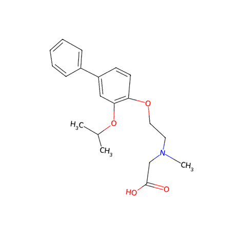 CC(C)Oc1cc(-c2ccccc2)ccc1OCCN(C)CC(=O)O